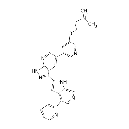 CN(C)CCOc1cncc(-c2cnc3[nH]nc(-c4cc5c(-c6ccccn6)cncc5[nH]4)c3c2)c1